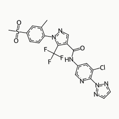 Cc1cc(S(C)(=O)=O)ccc1-n1ncc(C(=O)Nc2cnc(-n3nccn3)c(Cl)c2)c1C(F)(F)F